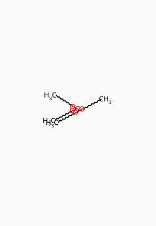 CCCCCCCCCCCCOCC(COCCCCCCCCCCCC)OC(COCCCCCCCCCCCC)COCCCCCCCCCCCC